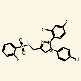 O=S(=O)(NCC1=NN(c2ccc(Cl)cc2Cl)[C@@H](c2ccc(Cl)cc2)C1)c1ccccc1F